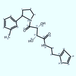 Cc1cccc(C2CCCN2C(=O)[C@H](O)[C@@H](O)C(=O)NCCc2cccs2)c1